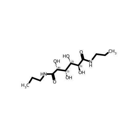 CCCNC(=O)[C@@H](O)[C@@H](O)[C@H](O)[C@@H](O)C(=O)NCCC